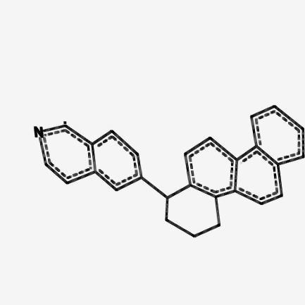 [c]1nccc2cc(C3CCCc4c3ccc3c4ccc4ccccc43)ccc12